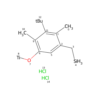 Cc1c(C[SiH3])cc([O][Ti])c(C)c1C(C)(C)C.Cl.Cl